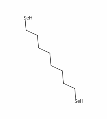 [SeH]CCCCCCCC[SeH]